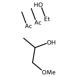 CC(C)=O.CC(C)=O.CCO.COCC(C)O